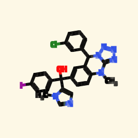 CN1c2ccc(C(O)(c3ccc(I)cc3)c3cncn3C)cc2C(c2cccc(Cl)c2)n2nnnc21